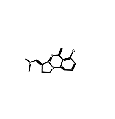 C=C1N=C2/C(=C/N(C)C)CCN2c2cccc(Cl)c21